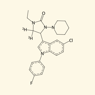 [2H]C1([2H])C(c2cn(-c3ccc(F)cc3)c3ccc(Cl)cc23)N(N2CCCCC2)C(=O)N1CC